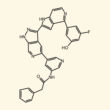 O=C(Cc1ccccc1)Nc1cncc(-c2cc3c(-c4cc5c(-c6cc(O)cc(F)c6)nccc5[nH]4)n[nH]c3cn2)c1